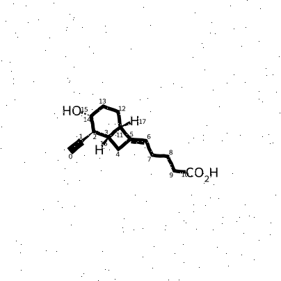 C#C[C@@H]1[C@H]2CC(=CCCCC(=O)O)[C@H]2CC[C@H]1O